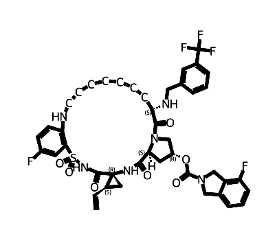 C=C[C@@H]1C[C@@]12NC(=O)[C@@H]1C[C@@H](OC(=O)N3Cc4cccc(F)c4C3)CN1C(=O)[C@@H](NCc1cccc(C(F)(F)F)c1)CCCCCCCNc1ccc(F)cc1S(=O)(=O)NC2=O